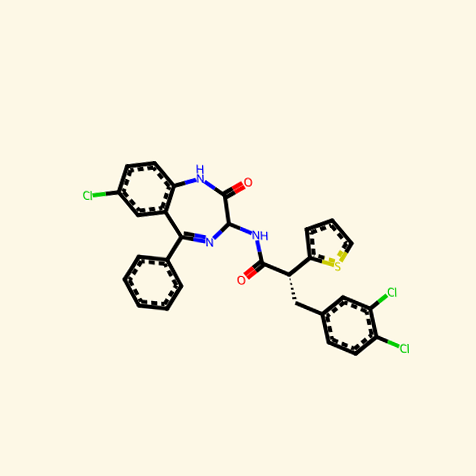 O=C1Nc2ccc(Cl)cc2C(c2ccccc2)=NC1NC(=O)[C@@H](Cc1ccc(Cl)c(Cl)c1)c1cccs1